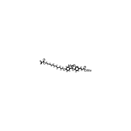 C=C(C)C(=O)OCCCCCCCCCCCOc1ccc(C(=O)Oc2ccc(/C=C/C(=O)OC)cc2OC)cc1